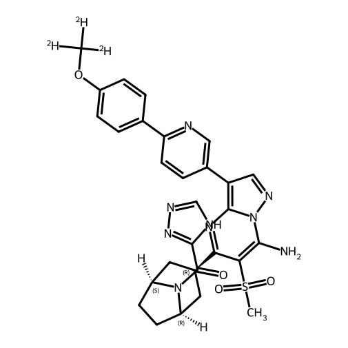 [2H]C([2H])([2H])Oc1ccc(-c2ccc(-c3cnn4c(N)c(S(C)(=O)=O)c([C@H]5C[C@H]6CC[C@@H](C5)N6C(=O)c5nnc[nH]5)nc34)cn2)cc1